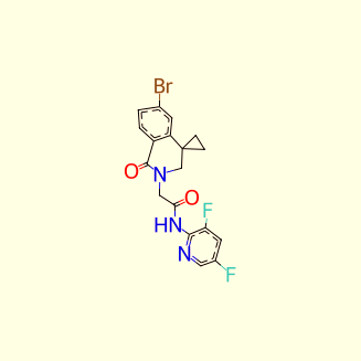 O=C(CN1CC2(CC2)c2cc(Br)ccc2C1=O)Nc1ncc(F)cc1F